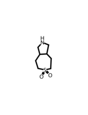 O=S1(=O)CCC2CNCC2CC1